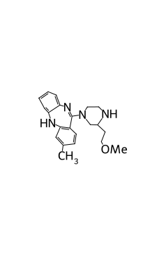 COCCC1CN(C2=Nc3ccccc3Nc3cc(C)ccc32)CCN1